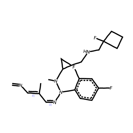 C=N/C=C(C)/C=N\N(c1ccc(F)cc1F)N(C)C1CC1CNCC1(F)CCC1